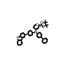 CC1(C)OB(c2cccc(N(c3ccc(-c4ccccc4)cc3)c3ccc(-c4ccc5sc6ccccc6c5c4)cc3)c2)OC1(C)C